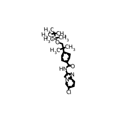 CC(C)(CO[Si](C)(C)C(C)(C)C)c1ccc(C(=O)Nc2cn3cc(Cl)ccc3n2)cc1